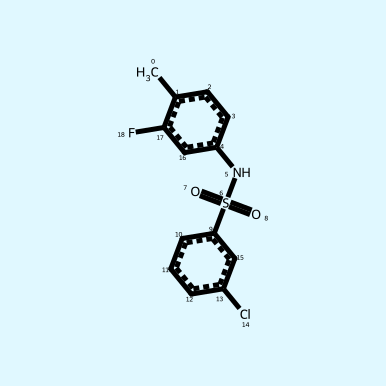 Cc1ccc(NS(=O)(=O)c2cccc(Cl)c2)cc1F